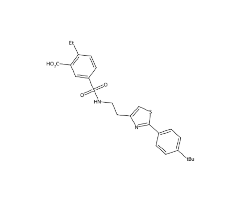 CCc1ccc(S(=O)(=O)NCCc2csc(-c3ccc(C(C)(C)C)cc3)n2)cc1C(=O)O